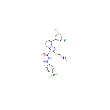 CCSc1nn2c(-c3cc(Cl)cc(Cl)c3)ccnc2c1C(=O)NNc1ccc(C(F)(F)F)cn1